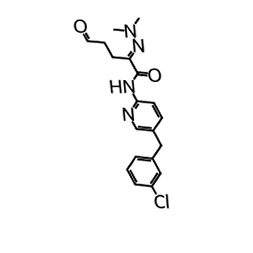 CN(C)/N=C(\CCC=O)C(=O)Nc1ccc(Cc2cccc(Cl)c2)cn1